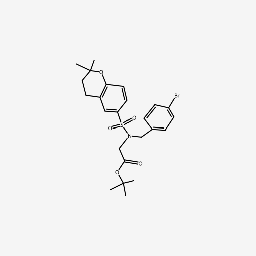 CC(C)(C)OC(=O)CN(Cc1ccc(Br)cc1)S(=O)(=O)c1ccc2c(c1)CCC(C)(C)O2